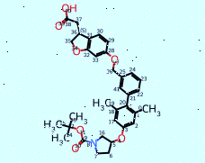 Cc1cc(OC2CCN(C(=O)OC(C)(C)C)C2)cc(C)c1-c1cccc(COc2ccc3c(c2)OC[C@H]3CC(=O)O)c1